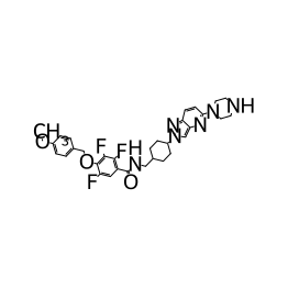 COc1ccc(COc2c(F)cc(C(=O)NCC3CCC(n4cc5nc(N6CCNCC6)ccc5n4)CC3)c(F)c2F)cc1